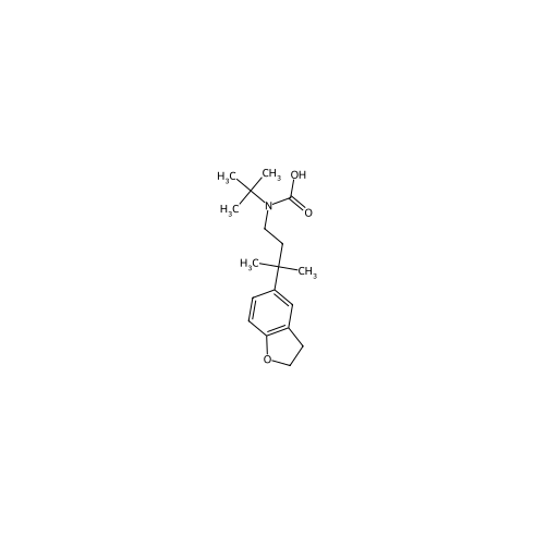 CC(C)(CCN(C(=O)O)C(C)(C)C)c1ccc2c(c1)CCO2